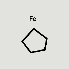 C1CCCC1.[Fe]